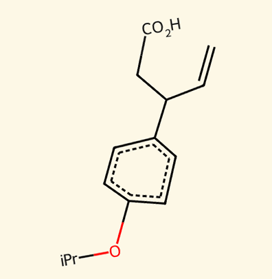 C=CC(CC(=O)O)c1ccc(OC(C)C)cc1